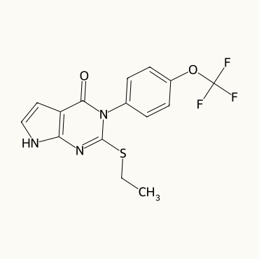 CCSc1nc2[nH]ccc2c(=O)n1-c1ccc(OC(F)(F)F)cc1